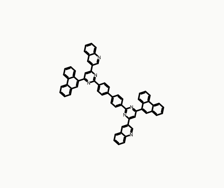 c1ccc2ncc(-c3cc(-c4cc5ccccc5c5ccccc45)nc(-c4ccc(-c5ccc(-c6nc(-c7cnc8ccccc8c7)cc(-c7cc8ccccc8c8ccccc78)n6)cc5)cc4)n3)cc2c1